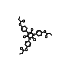 CCC(=O)Oc1ccc(-n2c(=O)n(-c3ccc(OC(=O)CC)cc3)c(=O)n(-c3ccc(OC(=O)CC)cc3)c2=O)cc1